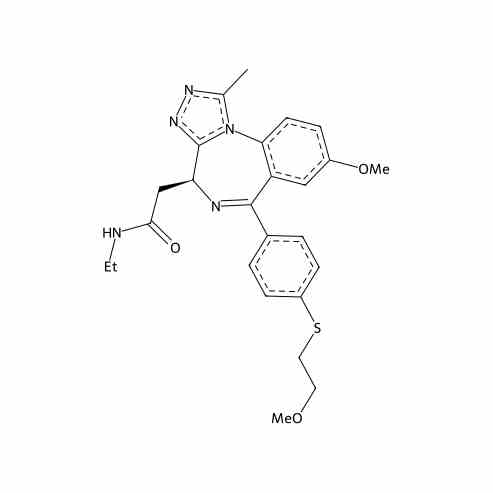 CCNC(=O)C[C@@H]1N=C(c2ccc(SCCOC)cc2)c2cc(OC)ccc2-n2c(C)nnc21